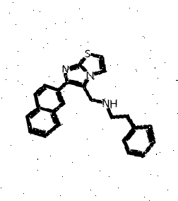 c1ccc(CCNCc2c(-c3ccc4ccccc4c3)nc3sccn23)cc1